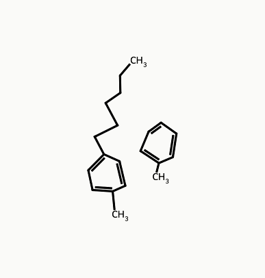 CCCCCCc1ccc(C)cc1.Cc1ccccc1